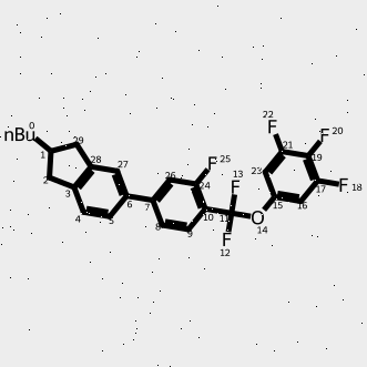 CCCCC1Cc2ccc(-c3ccc(C(F)(F)Oc4cc(F)c(F)c(F)c4)c(F)c3)cc2C1